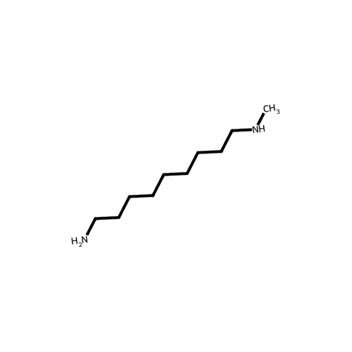 CNCCCCCCCCCN